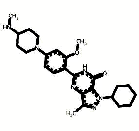 CNC1CCN(c2ccc(-c3nc4c(C)nn(C5CCCCC5)c4c(=O)[nH]3)c(OC)c2)CC1